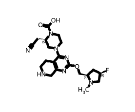 CN1C[C@H](F)C[C@@H]1COc1nc2c(c(N3CCN(C(=O)O)[C@@H](CC#N)C3)n1)CCNC2